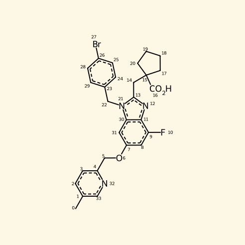 Cc1ccc(COc2cc(F)c3nc(CC4(C(=O)O)CCCC4)n(Cc4ccc(Br)cc4)c3c2)nc1